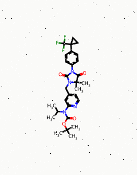 CC(C)N(C(=O)OC(C)(C)C)c1cc(CN2C(=O)N(c3ccc(C4(C(F)(F)F)CC4)cc3)C(=O)C2(C)C)ccn1